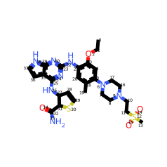 CCOc1cc(N2CCN(CCS(C)(=O)=O)CC2)c(C)cc1Nc1nc(NC2C=CSC2C(N)=O)c2cc[nH]c2n1